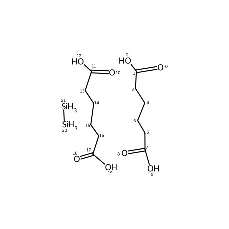 O=C(O)CCCCC(=O)O.O=C(O)CCCCC(=O)O.[SiH3][SiH3]